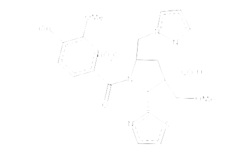 COC[C@]1(C(=O)O)C[C@@](Cn2cccn2)(C(=O)O)N(C(=O)c2ccc(C(C)(C)C)c(OC)c2)[C@H]1c1nccs1